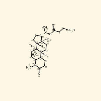 CC(OC(=O)CCC(=O)O)[C@H]1CC[C@H]2[C@@H]3CCC4N(C)C(=O)CC[C@]4(C)[C@H]3CC[C@]12C